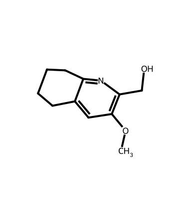 COc1cc2c(nc1CO)CCCC2